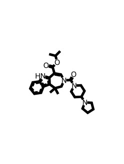 CC(C)OC(=O)C1=CN(C(=O)N2CCC(N3CCCC3)CC2)CC(C)(C)c2c1[nH]c1ccccc21